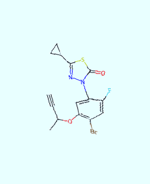 C#CC(C)Oc1cc(-n2nc(C3CC3)sc2=O)c(F)cc1Br